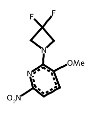 COc1ccc([N+](=O)[O-])nc1N1CC(F)(F)C1